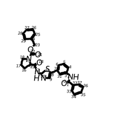 O=C(Nc1cccc(-c2cnc(NC(=O)C3CCCN3C(=O)OCc3ccccc3)s2)c1)c1ccccc1